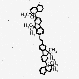 CC1(C)C2=C(C=CC(N3c4ccccc4C=CC3(C)C)C2)c2ccc(/C=C/c3ccc4c(c3)C(C)(C)C3C=C(N5C6=C(C=CCC6)C=CC5(C)C)C=CC43)cc21